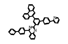 c1ccc(-c2ccc(-c3nc(-c4cc(-c5ccc(-c6ccccn6)cc5)cc(-c5cc6ccccc6c6ccccc56)c4)nc4ccccc34)cc2)cc1